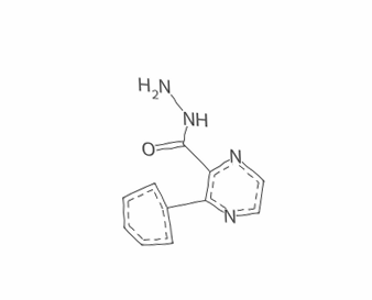 NNC(=O)c1nccnc1-c1ccccc1